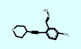 Cc1ccc(C#CC2CCOCC2)c(/C=N/O)c1